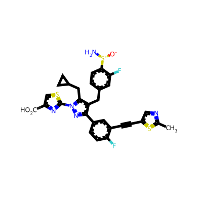 Cc1ncc(C#Cc2cc(-c3nn(-c4nc(C(=O)O)cs4)c(CC4CC4)c3Cc3ccc([S+](N)[O-])c(F)c3)ccc2F)s1